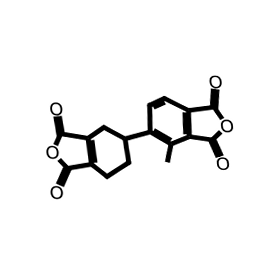 Cc1c(C2CCC3=C(C2)C(=O)OC3=O)ccc2c1C(=O)OC2=O